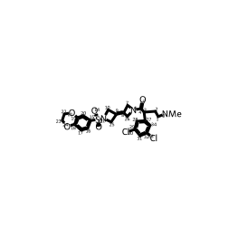 CNCCC(C(=O)N1CC(=C2CN(S(=O)(=O)c3ccc4c(c3)OCCO4)C2)C1)c1cc(Cl)cc(Cl)c1